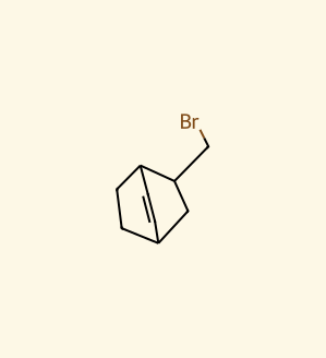 BrCC1CC2C=CC1CC2